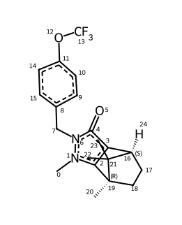 Cn1c2c(c(=O)n1Cc1ccc(OC(F)(F)F)cc1)[C@H]1CC[C@]2(C)C1(C)C